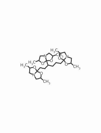 CC1CN2CC(C)OC2(CCCC(CCC23OC(C)CN2CC(C)O3)C23OC(C)CN2CC(C)O3)O1